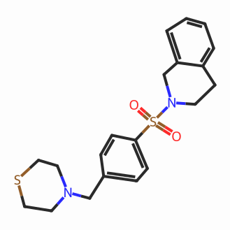 O=S(=O)(c1ccc(CN2CCSCC2)cc1)N1CCc2ccccc2C1